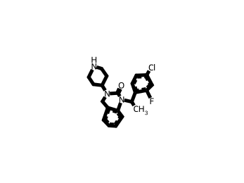 CC(c1ccc(Cl)cc1F)N1C(=O)N(C2CCNCC2)Cc2ccccc21